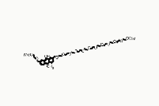 COCCOCCOCCOCCOCCOCCOCCOCCOCCOCCOCCOCc1ccc2c(C)c3ccc(COCCOC)cc3c(C)c2c1